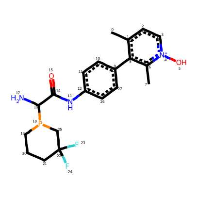 Cc1cc[n+](O)c(C)c1-c1ccc(NC(=O)C(N)P2CCCC(F)(F)C2)cc1